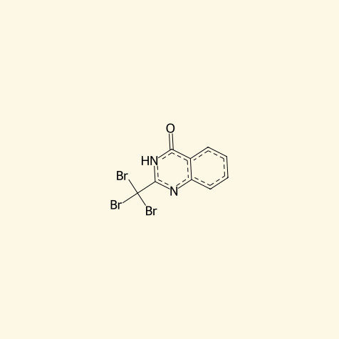 O=c1[nH]c(C(Br)(Br)Br)nc2ccccc12